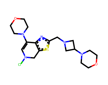 ClN1C=C(N2CCOCC2)c2nc(CN3CC(N4CCOCC4)C3)sc2C1